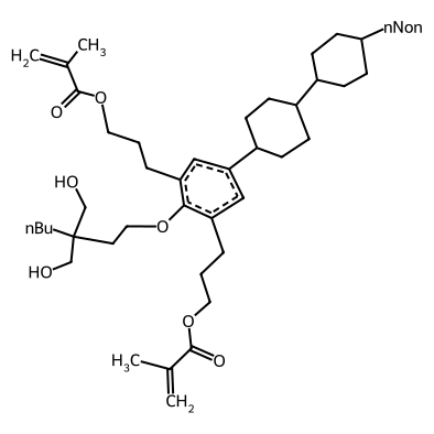 C=C(C)C(=O)OCCCc1cc(C2CCC(C3CCC(CCCCCCCCC)CC3)CC2)cc(CCCOC(=O)C(=C)C)c1OCCC(CO)(CO)CCCC